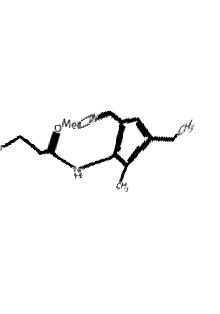 COc1cc(C)cc(C)c1NC(=O)CCCl